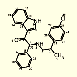 CC(CN[C@H](C(=O)c1c[nH]c2ccccc12)c1ccccc1)c1ccc(Cl)cc1